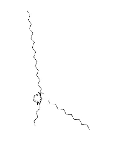 CCCCCCCCCCCCCCCCCC[n+]1ccn(CCCCC)c1CCCCCCCCCCCC